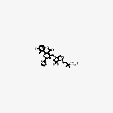 COC(=O)C1=C(CN2CC(F)(F)C3C2CON3CCC(C)(C)C(=O)O)NC(c2nccs2)=NC1c1cccc(F)c1C